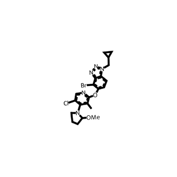 COC1CCCN1c1c(Cl)cnc(Oc2ccc3c(nnn3CC3CC3)c2Br)c1C